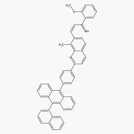 COc1ccccc1C(=N)/C=C\c1ccc2ccc(-c3ccc(-c4c5ccccc5c(-c5cccc6ccccc56)c5ccccc45)cc3)nc2c1C